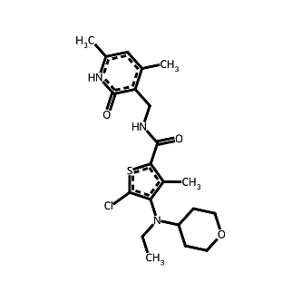 CCN(c1c(Cl)sc(C(=O)NCc2c(C)cc(C)[nH]c2=O)c1C)C1CCOCC1